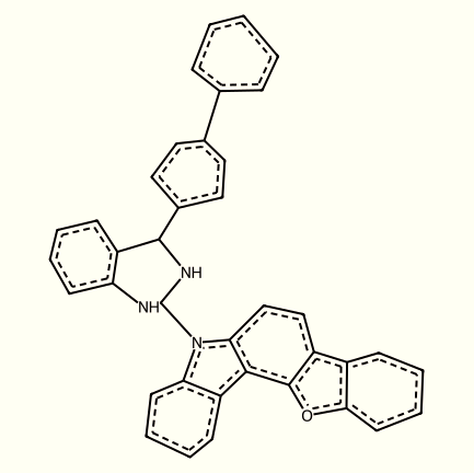 c1ccc(-c2ccc(C3NC(n4c5ccccc5c5c6oc7ccccc7c6ccc54)Nc4ccccc43)cc2)cc1